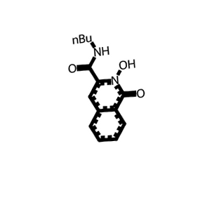 CCCCNC(=O)c1cc2ccccc2c(=O)n1O